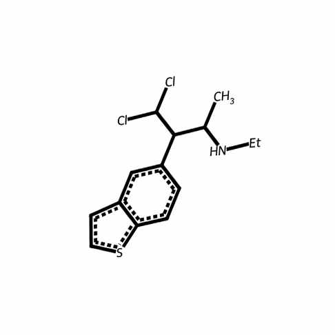 CCNC(C)C(c1ccc2sccc2c1)C(Cl)Cl